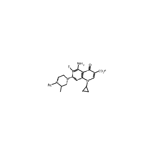 CC(=O)N1CCN(c2cc3c(c(N)c2F)c(=O)c(C(=O)O)cn3C2CC2)CC1C